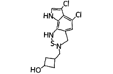 OC1CC(CN2Cc3cc(Cl)c4c(Cl)c[nH]c4c3NS2)C1